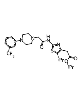 CC(C)OC(=O)Cc1nc(NC(=O)CN2CCN(c3cccc(C(F)(F)F)c3)CC2)sc1C(C)C